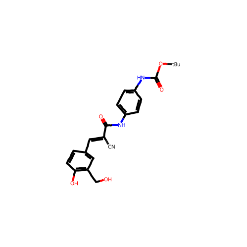 CC(C)(C)OC(=O)Nc1ccc(NC(=O)/C(C#N)=C/c2ccc(O)c(CO)c2)cc1